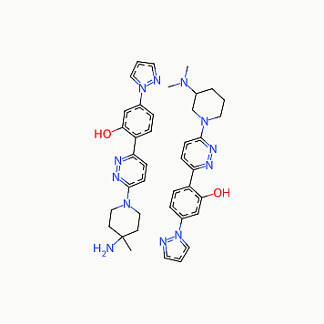 CC1(N)CCN(c2ccc(-c3ccc(-n4cccn4)cc3O)nn2)CC1.CN(C)C1CCCN(c2ccc(-c3ccc(-n4cccn4)cc3O)nn2)C1